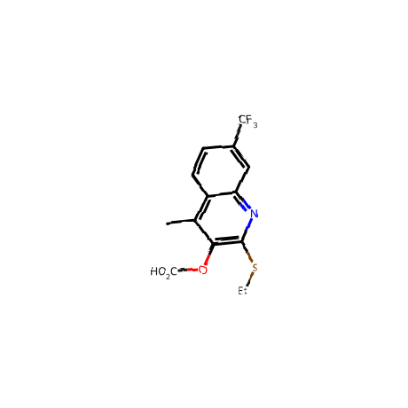 CCSc1nc2cc(C(F)(F)F)ccc2c(C)c1OC(=O)O